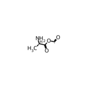 C[C@@H](N)C(=O)O[C]=O